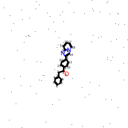 O=C(Cc1ccccc1)c1ccc(-c2cn3ccccc3n2)cc1